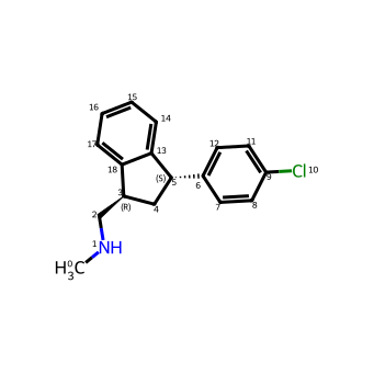 CNC[C@@H]1C[C@@H](c2ccc(Cl)cc2)c2ccccc21